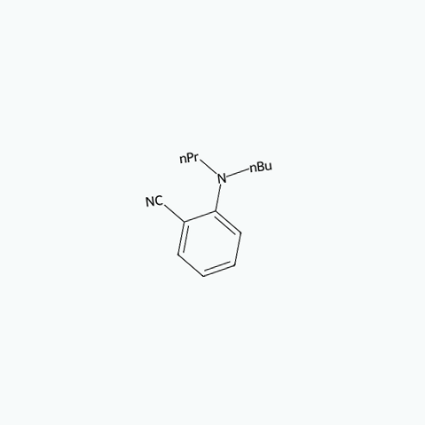 CCCCN(CCC)c1ccccc1C#N